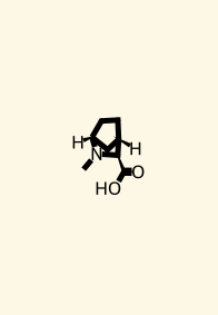 CN1[C@@H]2CC[C@@H](C2)[C@H]1C(=O)O